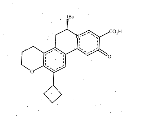 CC(C)(C)[C@@H]1Cc2c(cc(C3CCC3)c3c2CCCO3)-c2cc(=O)c(C(=O)O)cn21